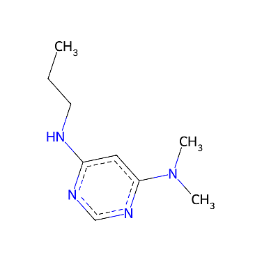 CCCNc1cc(N(C)C)ncn1